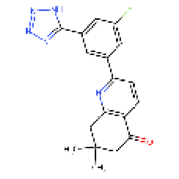 CC1(C)CC(=O)c2ccc(-c3cc(F)cc(-c4nnn[nH]4)c3)nc2C1